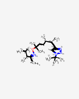 CC(=NOC(C)(C)CC[C@@H](C)[C@H](C)c1cn(C(C)(C)C)nn1)[C@@H](C)C(C)C